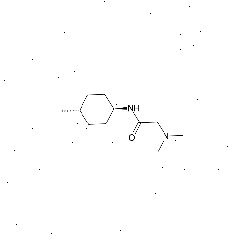 CN(C)CC(=O)N[C@H]1CC[C@H](C)CC1